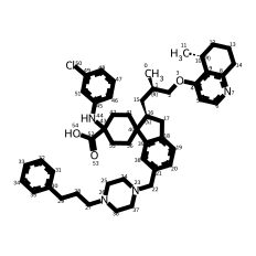 C[C@@H](COc1ccnc2c1[C@H](C)CCC2)C[C@H]1Cc2ccc(CN3CCN(CCCc4ccccc4)CC3)cc2C12CCC(Nc1cccc(Cl)c1)(C(=O)O)CC2